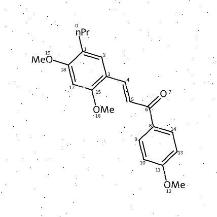 CCCc1cc(C=CC(=O)c2ccc(OC)cc2)c(OC)cc1OC